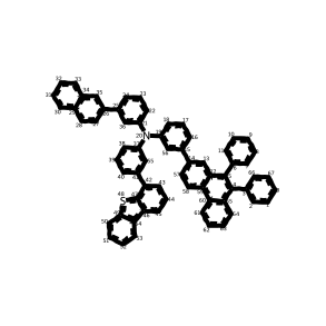 c1ccc(-c2c(-c3ccccc3)c3cc(-c4cccc(N(c5cccc(-c6ccc7ccccc7c6)c5)c5cccc(-c6cccc7c6sc6ccccc67)c5)c4)ccc3c3ccccc23)cc1